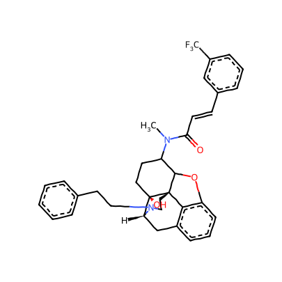 CN(C(=O)/C=C/c1cccc(C(F)(F)F)c1)C1CC[C@@]2(O)[C@H]3Cc4cccc5c4[C@@]2(CCN3CCc2ccccc2)C1O5